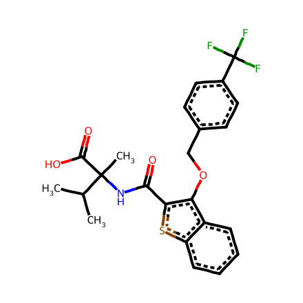 CC(C)C(C)(NC(=O)c1sc2ccccc2c1OCc1ccc(C(F)(F)F)cc1)C(=O)O